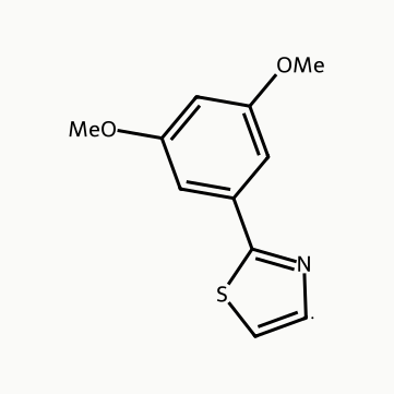 COc1cc(OC)cc(-c2n[c]cs2)c1